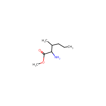 CCCC(C)C(N)C(=O)OC